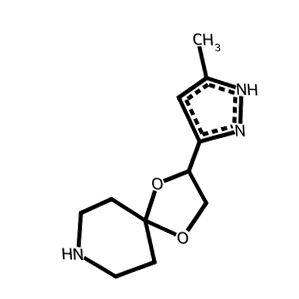 Cc1cc(C2COC3(CCNCC3)O2)n[nH]1